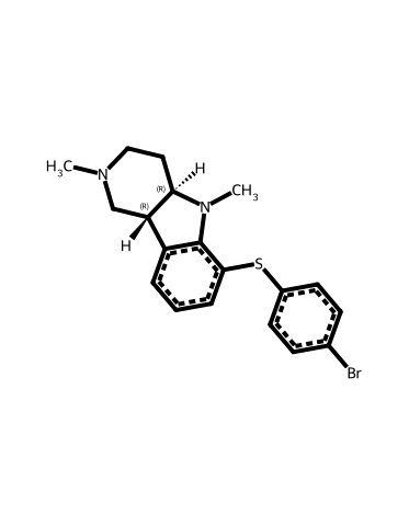 CN1CC[C@@H]2[C@@H](C1)c1cccc(Sc3ccc(Br)cc3)c1N2C